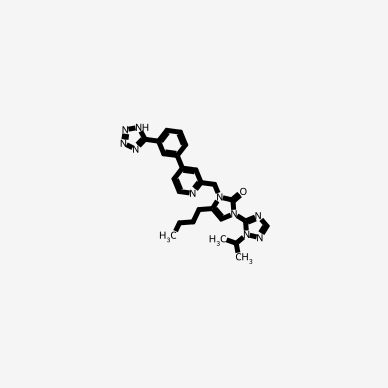 CCCCc1cn(-c2ncnn2C(C)C)c(=O)n1Cc1cc(-c2cccc(-c3nnn[nH]3)c2)ccn1